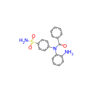 Nc1ccccc1N(C(=O)c1ccccc1)c1ccc(S(N)(=O)=O)cc1